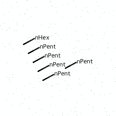 CCCCCC.CCCCCC.CCCCCC.CCCCCC.CCCCCC.CCCCCCC